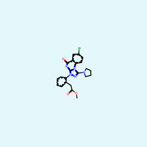 COC(=O)Cc1ccccc1-n1nc(N2CCCC2)n2c3ccc(Br)cc3c(=O)nc12